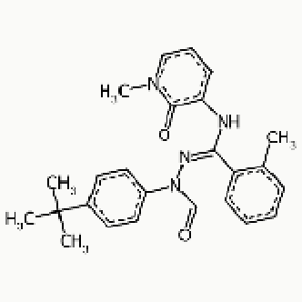 Cc1ccccc1/C(=N\N(C=O)c1ccc(C(C)(C)C)cc1)Nc1cccn(C)c1=O